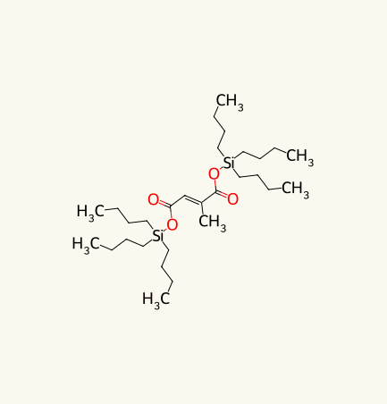 CCCC[Si](CCCC)(CCCC)OC(=O)/C=C(\C)C(=O)O[Si](CCCC)(CCCC)CCCC